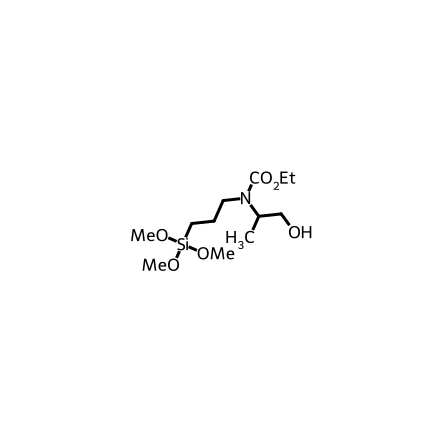 CCOC(=O)N(CCC[Si](OC)(OC)OC)C(C)CO